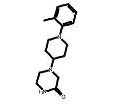 Cc1ccccc1N1CCC(N2CCNC(=O)C2)CC1